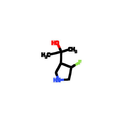 CC(C)(O)C1CNCC1F